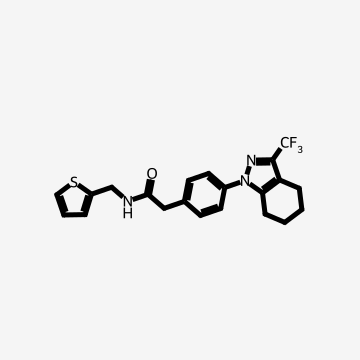 O=C(Cc1ccc(-n2nc(C(F)(F)F)c3c2CCCC3)cc1)NCc1cccs1